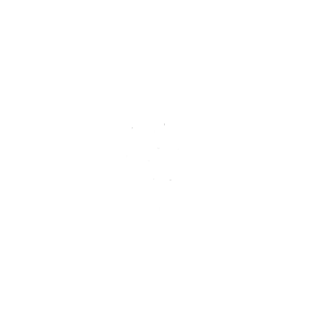 COc1cc(F)c(C(C)=O)cc1Br